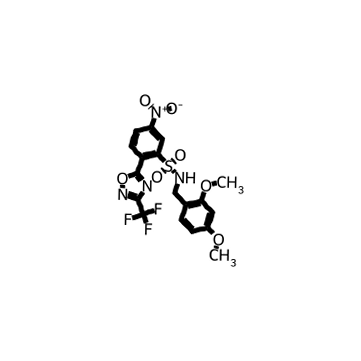 COc1ccc(CNS(=O)(=O)c2cc([N+](=O)[O-])ccc2-c2nc(C(F)(F)F)no2)c(OC)c1